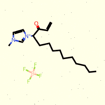 C=CC(=O)C(CCCCCCCCCC)[n+]1ccn(C)c1.F[B-](F)(F)F